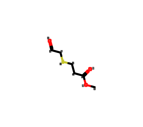 COC(=O)CCSCC=O